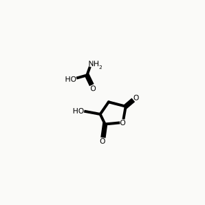 NC(=O)O.O=C1CC(O)C(=O)O1